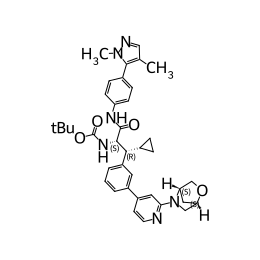 Cc1cnn(C)c1-c1ccc(NC(=O)[C@@H](NC(=O)OC(C)(C)C)[C@@H](c2cccc(-c3ccnc(N4C[C@@H]5C[C@H]4CO5)c3)c2)C2CC2)cc1